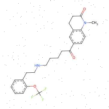 CN1C(=O)CCc2cc(C(=O)CCCCNCCc3ccccc3OC(F)(F)F)ccc21